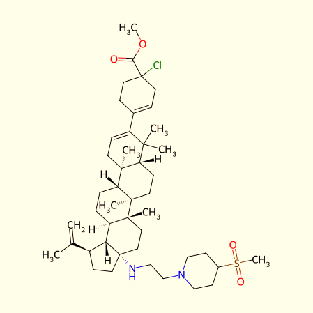 C=C(C)[C@@H]1CC[C@]2(NCCN3CCC(S(C)(=O)=O)CC3)CC[C@]3(C)[C@H](CC[C@@H]4[C@@]5(C)CC=C(C6=CCC(Cl)(C(=O)OC)CC6)C(C)(C)[C@@H]5CC[C@]43C)[C@@H]12